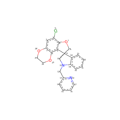 Clc1cc2c(c3c1OCC31CN(Cc3ccccn3)c3ccccc31)OCCO2